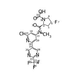 CN(C(=O)[C@@H]1C[C@@H](F)CN1C(=O)O)c1cc(Cl)nc(-c2cnc(C(F)(F)F)nc2)c1